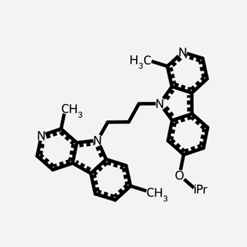 Cc1ccc2c3ccnc(C)c3n(CCCn3c4cc(OC(C)C)ccc4c4ccnc(C)c43)c2c1